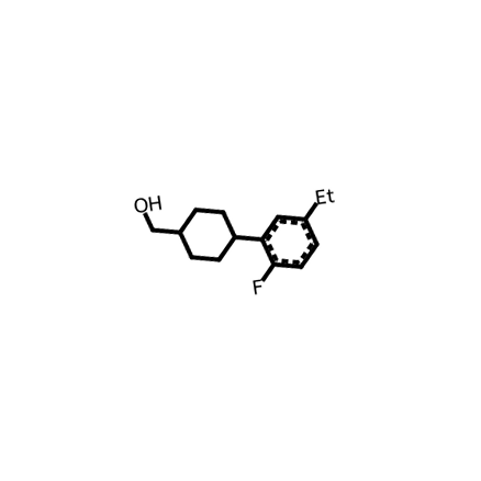 CCc1ccc(F)c(C2CCC(CO)CC2)c1